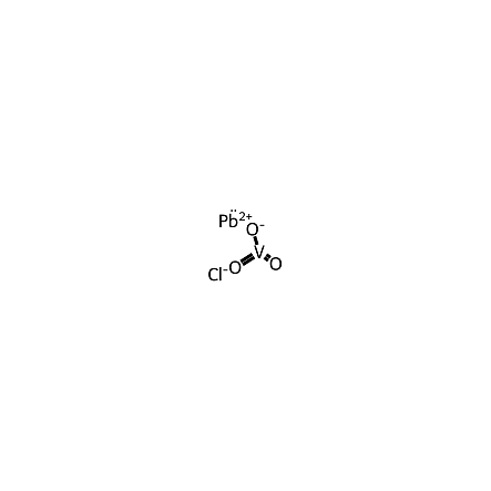 [Cl-].[O]=[V](=[O])[O-].[Pb+2]